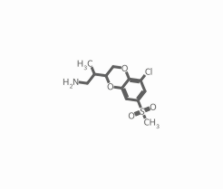 CC(CN)C1COc2c(Cl)cc(S(C)(=O)=O)cc2O1